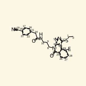 CCSc1nnc2n(CCCNC(=O)Cc3ccc(C#N)cc3)c(=O)c3cccc(F)c3n12